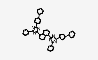 c1ccc(-c2ccc(-c3nc(-c4ccccc4)nc(-c4cccc5c(-c6nc(-c7ccccc7)nc(-c7ccc(-c8ccccc8)cc7)n6)cccc45)n3)cc2)cc1